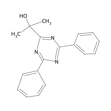 CC(C)(O)c1nc(-c2ccccc2)nc(-c2ccccc2)n1